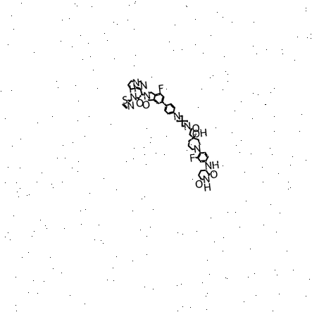 O=C1CCC(Nc2ccc(N3CCCC(O)(CC(=O)N4CC5(C4)CN(c4ccc(-c6cc(F)c7c(c6)C(=O)N(C(C(=O)Nc6nccs6)c6ncn8c6CCC8)C7)cc4)C5)CC3)c(F)c2)C(=O)N1